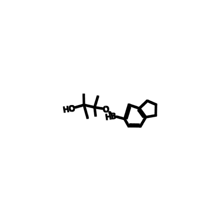 CC(C)(O)C(C)(C)OBc1ccc2c(c1)CCC2